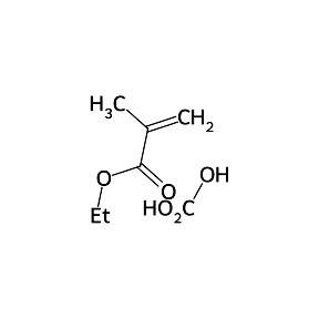 C=C(C)C(=O)OCC.O=C(O)O